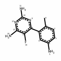 Cc1ccc(N)cc1-c1nc(N)nc(N)c1F